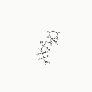 COC(F)(F)C(F)(F)OC(F)(F)COP1(=O)OCCCO1